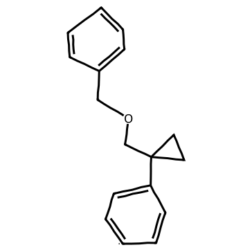 [c]1ccc(C2(COCc3ccccc3)CC2)cc1